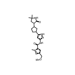 COCc1cc(C(=O)Nc2cc(C3CCC(N4CC(C)(C)NC4=O)C3)[nH]n2)n(C)n1